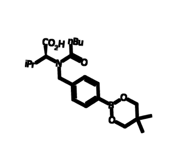 CCCCC(=O)N(Cc1ccc(B2OCC(C)(C)CO2)cc1)[C@H](C(=O)O)C(C)C